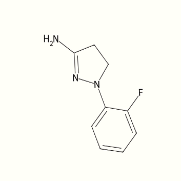 NC1=NN(c2ccccc2F)CC1